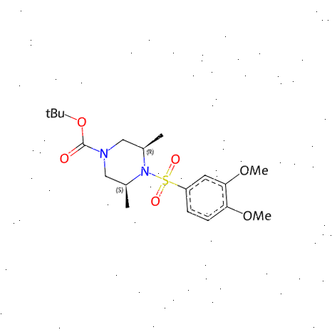 COc1ccc(S(=O)(=O)N2[C@H](C)CN(C(=O)OC(C)(C)C)C[C@@H]2C)cc1OC